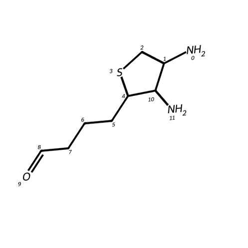 NC1CSC(CCCC=O)C1N